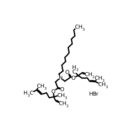 Br.C=CC(C)(CCC=C(C)C)OC(=O)CN(CCCCCCCCCCCC)CC(=O)OC(C)(C=C)CCC=C(C)C